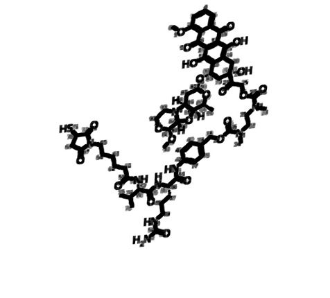 COc1cccc2c1C(=O)c1c(O)c3c(c(O)c1C2=O)C[C@@](O)(C(=O)COC(=O)N(C)CCN(C)C(=O)OCc1ccc(NC(=O)[C@H](CCCNC(N)=O)NC(=O)[C@@H](NC(=O)CCCCCN2C(=O)CC(S)C2=O)C(C)C)cc1)C[C@@H]3O[C@H]1C[C@H]2[C@H](O[C@@H]3[C@@H](OC)OCCN32)[C@H](C)O1